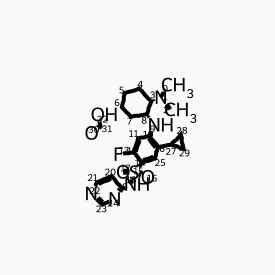 CN(C)[C@H]1CCCC[C@@H]1Nc1cc(F)c(S(=O)(=O)Nc2ccncn2)cc1C1CC1.O=CO